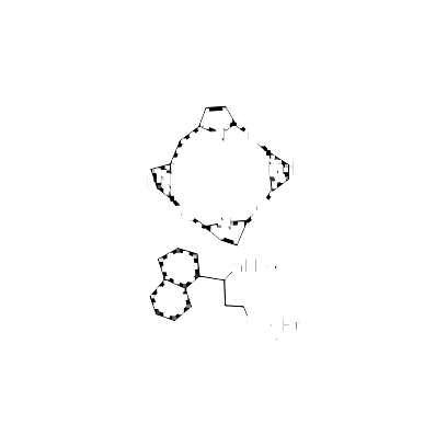 C1=Cc2cc3ccc(cc4nc(cc5ccc(cc1n2)[nH]5)C=C4)[nH]3.CCCCCCC(CCC(=O)OCC)c1cccc2ccccc12